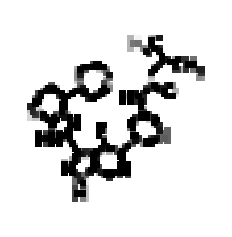 CC(C)CC(=O)Nc1cncc(-c2ncc3[nH]nc(-c4nc5c(-c6ccncc6)ccnc5[nH]4)c3c2F)c1